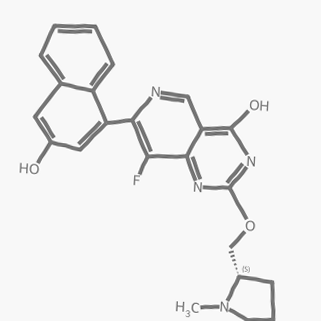 CN1CCC[C@H]1COc1nc(O)c2cnc(-c3cc(O)cc4ccccc34)c(F)c2n1